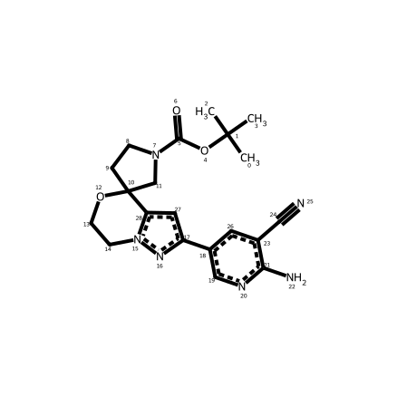 CC(C)(C)OC(=O)N1CCC2(C1)OCCn1nc(-c3cnc(N)c(C#N)c3)cc12